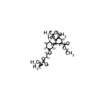 CCOC(=O)C1=C[C@@H](N2CCC[C@H](OCCOC(=O)N(C)C)C2)[C@H](NC(C)=O)[C@@H](N)C1